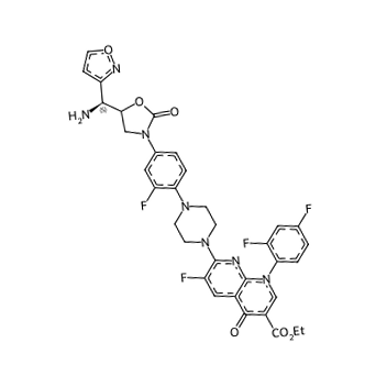 CCOC(=O)c1cn(-c2ccc(F)cc2F)c2nc(N3CCN(c4ccc(N5CC([C@@H](N)c6ccon6)OC5=O)cc4F)CC3)c(F)cc2c1=O